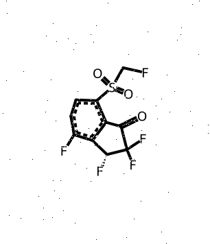 O=C1c2c(S(=O)(=O)CF)ccc(F)c2[C@@H](F)C1(F)F